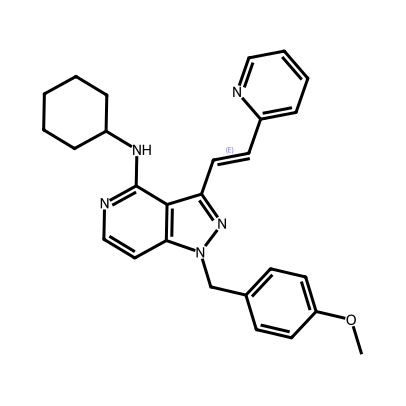 COc1ccc(Cn2nc(/C=C/c3ccccn3)c3c(NC4CCCCC4)nccc32)cc1